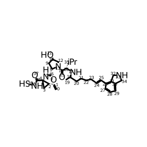 C=C[C@@H]1C[C@]1(NC(=O)[C@@H]1C[C@@H](O)CN1C(=O)[C@@H](NC(C)CCCC/C=C/c1cccc2c1CNC2)C(C)C)C(=O)NS